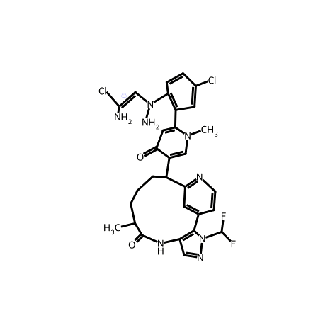 CC1CCCC(c2cn(C)c(-c3cc(Cl)ccc3N(N)/C=C(\N)Cl)cc2=O)c2cc(ccn2)-c2c(cnn2C(F)F)NC1=O